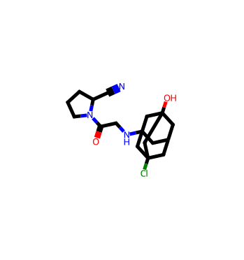 N#CC1CCCN1C(=O)CNC12CC3CC(O)(CC(Cl)(C3)C1)C2